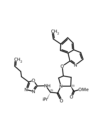 C=CCCc1nnc(N[C@H](C(=O)N2CC(Oc3nccc4ccc(C=C)cc34)C[C@H]2C(=O)OC)C(C)C)o1